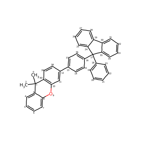 CC1(C)c2ccccc2Oc2cc(-c3ccc(C4(c5ccccc5)c5ccccc5-c5ccccc54)cc3)ccc21